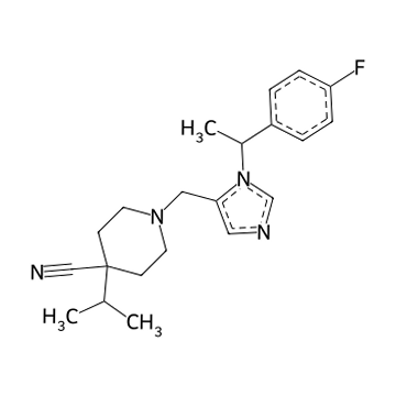 CC(c1ccc(F)cc1)n1cncc1CN1CCC(C#N)(C(C)C)CC1